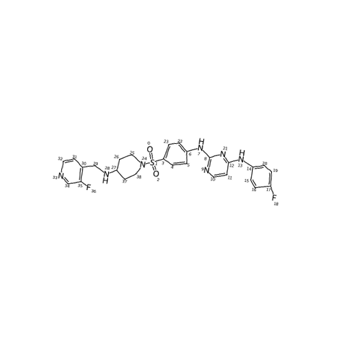 O=S(=O)(c1ccc(Nc2nccc(Nc3ccc(F)cc3)n2)cc1)N1CCC(NCc2ccncc2F)CC1